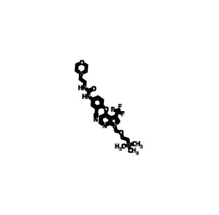 C[Si](C)(C)CCOCn1cc(C(F)(F)F)c2c(Oc3ccc(NC(=O)NCCN4CCOCC4)cc3C#N)ccnc21